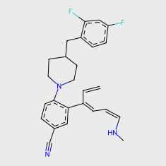 C=C/C(=C\C=C/NC)c1cc(C#N)ccc1N1CCC(Cc2ccc(F)cc2F)CC1